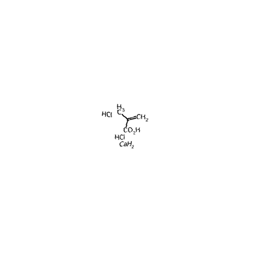 C=C(C)C(=O)O.Cl.Cl.[CaH2]